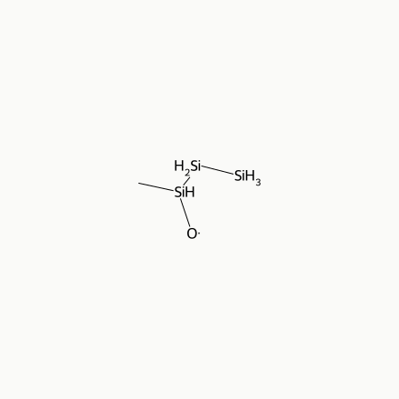 C[SiH]([O])[SiH2][SiH3]